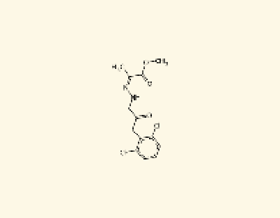 COC(=O)C(C)=NNCC(=O)Cc1c(Cl)cccc1Cl